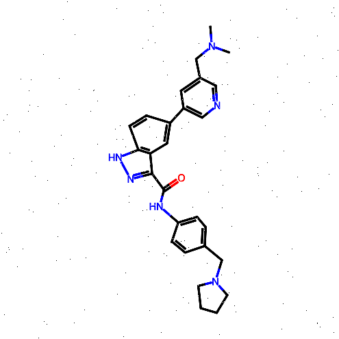 CN(C)Cc1cncc(-c2ccc3[nH]nc(C(=O)Nc4ccc(CN5CCCC5)cc4)c3c2)c1